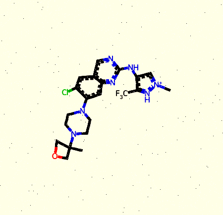 C[n+]1cc(Nc2ncc3cc(Cl)c(N4CCN(C5(C)COC5)CC4)cc3n2)c(C(F)(F)F)[nH]1